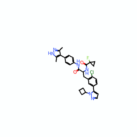 Cc1n[nH]c(C)c1-c1ccc(NC(=O)C(Cc2cc(-c3ccnn3C3CCC3)ccc2Cl)NC(=O)C2(F)CC2)cc1